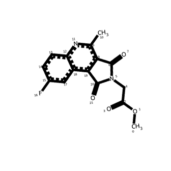 COC(=O)CN1C(=O)c2c(C)nc3ccc(F)cc3c2C1=O